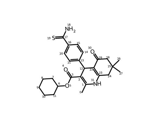 CC1=C(C(=O)OC2CCCCC2)C(c2ccc(C(N)=S)cc2)C2=C(CC(C)(C)CC2=O)N1